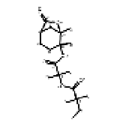 CCC(C)(C)C(=O)OC(C)(C)C(=O)OC1(C)CCC2CC1(C)OC2=O